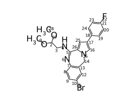 COC(CNC1=Nc2ccc(Br)cc2Cn2cc(-c3ccc(F)cc3)cc21)OC